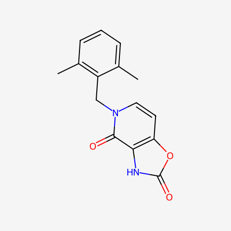 Cc1cccc(C)c1Cn1ccc2oc(=O)[nH]c2c1=O